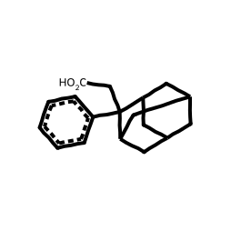 O=C(O)CC1(c2ccccc2)C2CC3CC(C2)CC1C3